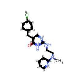 CN(CCNc1ncc(Cc2ccc(Cl)cc2)c(=O)[nH]1)c1ccccn1